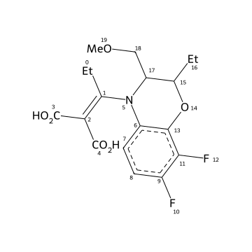 CCC(=C(C(=O)O)C(=O)O)N1c2ccc(F)c(F)c2OC(CC)C1COC